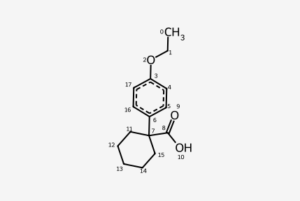 CCOc1ccc(C2(C(=O)O)CCCCC2)cc1